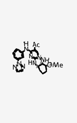 COC1CCC[C@@H](Nc2ncc(C(C)=O)c(Nc3cccc(-n4nccn4)c3)n2)[C@H]1N